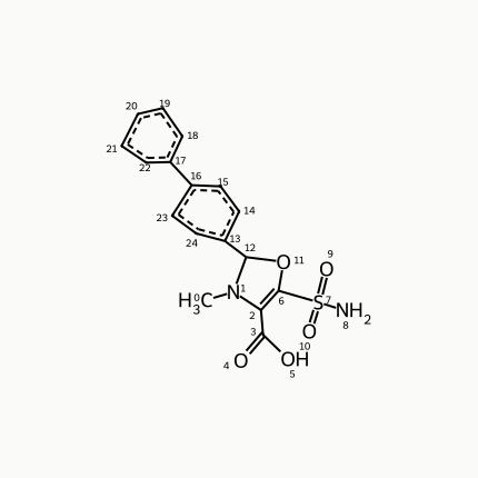 CN1C(C(=O)O)=C(S(N)(=O)=O)OC1c1ccc(-c2ccccc2)cc1